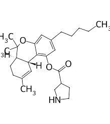 CCCCCc1cc(OC(=O)C2CCNC2)c2c(c1)OC(C)(C)[C@@H]1CCC(C)=C[C@@H]21